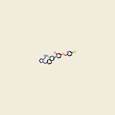 NC[C@@H]1CCCN1Cc1ccc2c(c1)CCC(n1ccc(OCc3ccc(Cl)cn3)cc1=O)=C2